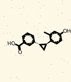 Cc1cc(O)ccc1[C@H]1C[C@@H]1c1cccc(C(=O)O)c1